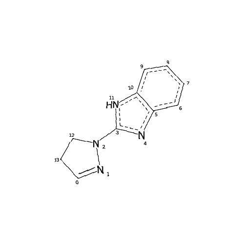 C1=NN(c2nc3ccccc3[nH]2)CC1